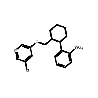 COc1ccccc1C1CCCCC1COc1cncc(Cl)c1